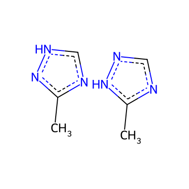 Cc1nc[nH]n1.Cc1ncn[nH]1